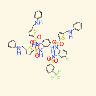 O=S(=O)(Nc1cc(F)ccc1NS(=O)(=O)c1ccc(CNc2ccccc2)s1)c1cccc(C(F)(F)F)c1.O=S(=O)(Nc1ccccc1NS(=O)(=O)c1ccc(CNc2ccccc2)s1)c1ccc(CNc2ccccc2)s1